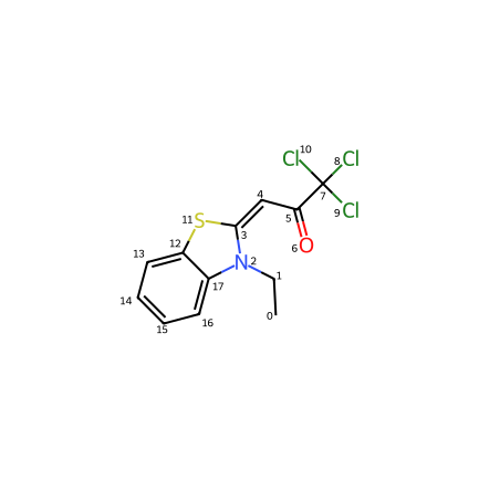 CCN1/C(=C\C(=O)C(Cl)(Cl)Cl)Sc2ccccc21